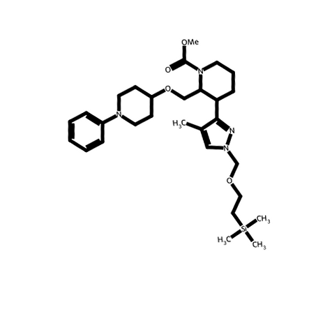 COC(=O)N1CCCC(c2nn(COCC[Si](C)(C)C)cc2C)C1COC1CCN(c2ccccc2)CC1